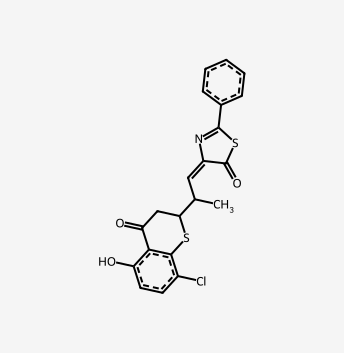 CC(C=C1N=C(c2ccccc2)SC1=O)C1CC(=O)c2c(O)ccc(Cl)c2S1